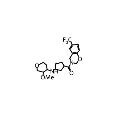 COC1COCCC1NC1CCC(C(=O)N2COc3ccc(C(F)(F)F)cc3C2)C1